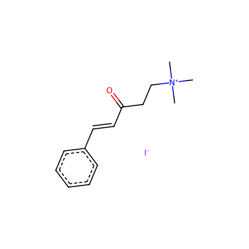 C[N+](C)(C)CCC(=O)C=Cc1ccccc1.[I-]